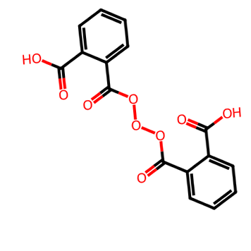 O=C(O)c1ccccc1C(=O)OOOC(=O)c1ccccc1C(=O)O